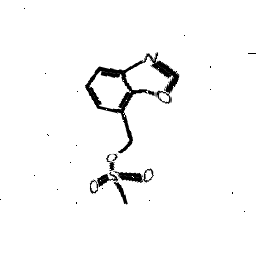 CS(=O)(=O)OCc1cccc2ncoc12